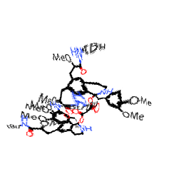 COc1ccc(C[C@]2(OC(=O)C(=O)O[C@@]3(Cc4ccc(OC)c(OC)c4)NCCc4cc(CC(OC)C(=O)NC(C)(C)C)c(CC(OC)C(=O)NC(C)(C)C)cc43)NCCc3cc(CC(OC)C(=O)NC(C)(C)C)c(CC(OC)C(=O)NC(C)(C)C)cc32)cc1OC